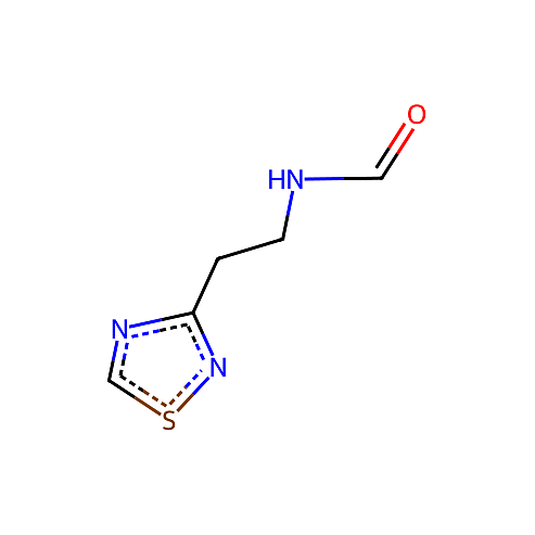 O=CNCCc1ncsn1